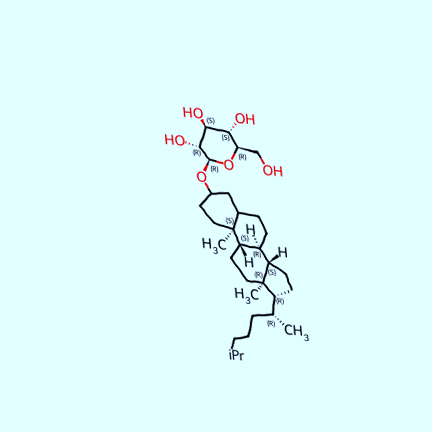 CC(C)CCC[C@@H](C)[C@H]1CC[C@H]2[C@@H]3CCC4CC(O[C@@H]5O[C@H](CO)[C@@H](O)[C@H](O)[C@H]5O)CC[C@]4(C)[C@H]3CC[C@]12C